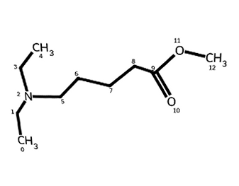 CCN(CC)CCCCC(=O)OC